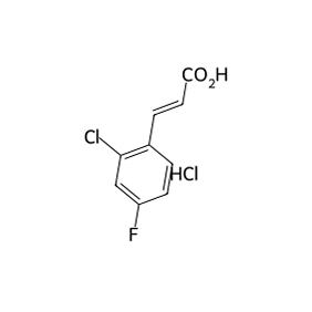 Cl.O=C(O)C=Cc1ccc(F)cc1Cl